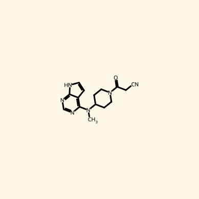 CN(c1ncnc2[nH]ccc12)C1CCN(C(=O)CC#N)CC1